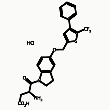 Cl.NC(CC(=O)O)C(=O)N1CCc2cc(OCc3cc(-c4ccccc4)c(C(F)(F)F)s3)ccc21